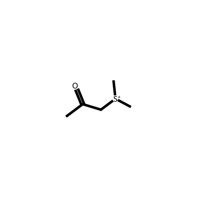 CC(=O)C[S+](C)C